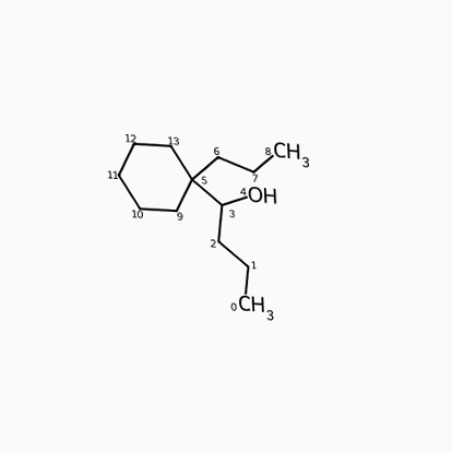 CCCC(O)C1(CCC)CCCCC1